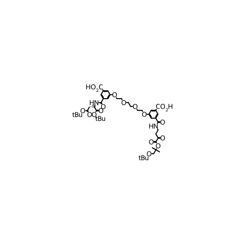 CC(C)(C)OCC(C)(C)OC(=O)C(=O)CCNC(=O)c1cc(OCCOCCOCCOc2cc(C(=O)O)cc(C(=O)N[C@@H](CC(=O)OC(C)(C)C)C(=O)OC(C)(C)C)c2)cc(C(=O)O)c1